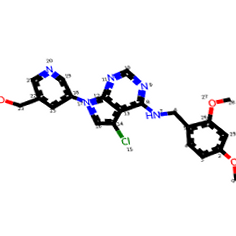 COc1ccc(CNc2ncnc3c2c(Cl)cn3-c2cncc(CO)c2)c(OC)c1